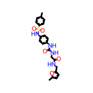 Cc1ccc(S(=O)(=O)Nc2ccc(NC(=O)NCC(=O)NCc3ccc(C)o3)cc2)cc1